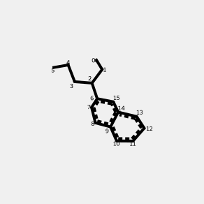 [CH2]CC(CCC)c1ccc2ccccc2c1